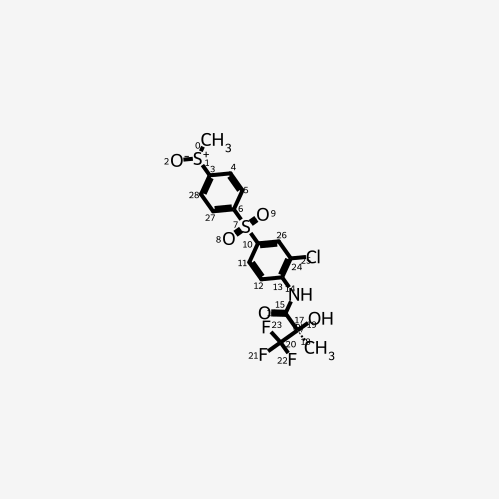 C[S+]([O-])c1ccc(S(=O)(=O)c2ccc(NC(=O)[C@@](C)(O)C(F)(F)F)c(Cl)c2)cc1